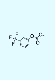 COC(=O)Oc1cccc(C(F)(F)F)c1